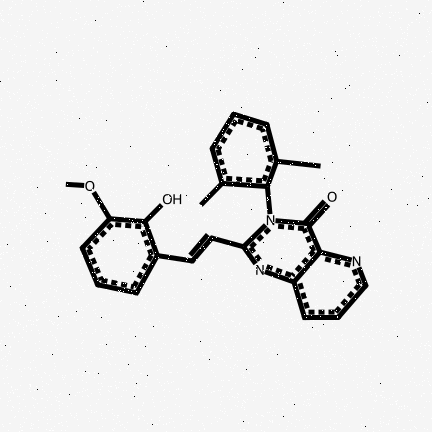 COc1cccc(/C=C/c2nc3cccnc3c(=O)n2-c2c(C)cccc2C)c1O